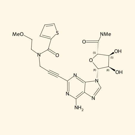 CNC(=O)[C@H]1O[C@@H](n2cnc3c(N)nc(C#CCN(CCOC)C(=O)c4cccs4)nc32)[C@H](O)[C@@H]1O